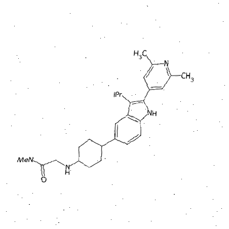 CNC(=O)CNC1CCC(c2ccc3[nH]c(-c4cc(C)nc(C)c4)c(C(C)C)c3c2)CC1